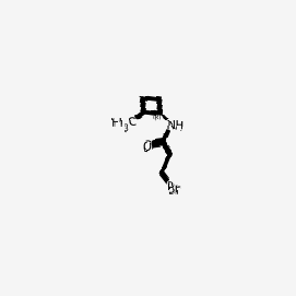 CC1CC[C@H]1NC(=O)CCBr